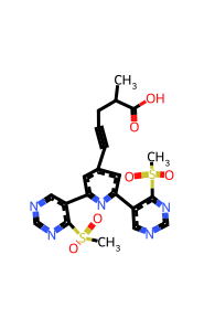 CC(CC#Cc1cc(-c2cncnc2S(C)(=O)=O)nc(-c2cncnc2S(C)(=O)=O)c1)C(=O)O